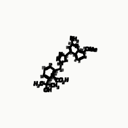 COc1cccc2c(-c3cn(Cc4cccc(C(C)(C)O)[n+]4C(=O)O)nn3)cc(N)nc12